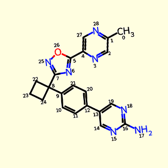 Cc1cnc(-c2nc(C3(c4ccc(-c5cnc(N)nc5)cc4)CCC3)no2)cn1